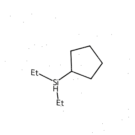 CC[SiH](CC)C1CCCC1